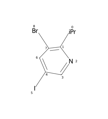 CC(C)c1ncc(I)cc1Br